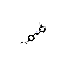 COc1ccc(/C=C/c2ccnc(F)c2)cc1